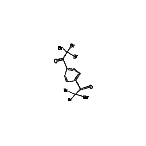 O=C(c1ccc(C(=O)C(Br)(Br)Br)cc1)C(Br)(Br)Br